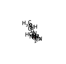 Cc1ccc(NC(=O)c2ccc(-c3nc([C@@H]4CCCN4C(=O)/C(C#N)=C/C4CC4)n(N)c3C(N)O)cc2)nc1